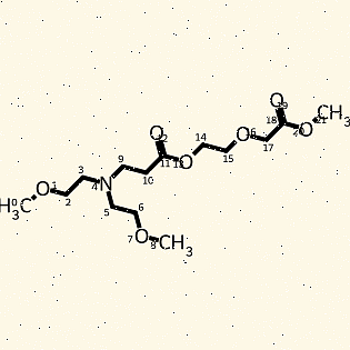 COCCN(CCOC)CCC(=O)OCCOCC(=O)OC